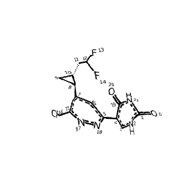 O=c1[nH]cc(-c2cc([C@H]3C[C@@H]3CC(F)F)c(Cl)nn2)c(=O)[nH]1